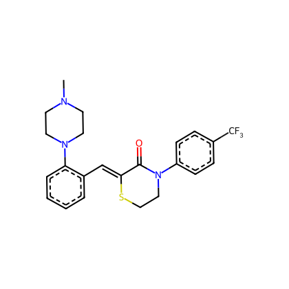 CN1CCN(c2ccccc2/C=C2\SCCN(c3ccc(C(F)(F)F)cc3)C2=O)CC1